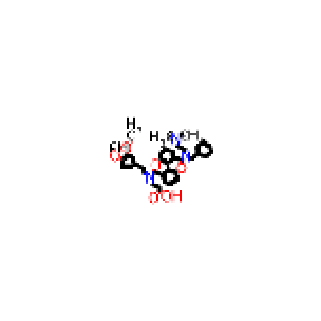 CCOc1cc(CCN(CCC(=O)O)C(=O)c2ccccc2-c2ccccc2C(=O)N(CCN(C)C)Cc2ccccc2)ccc1OC